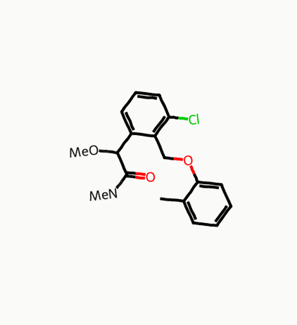 CNC(=O)C(OC)c1cccc(Cl)c1COc1ccccc1C